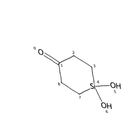 O=C1CC[Si](O)(O)CC1